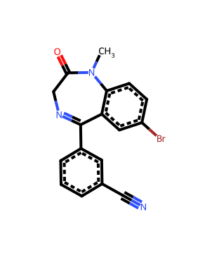 CN1C(=O)CN=C(c2cccc(C#N)c2)c2cc(Br)ccc21